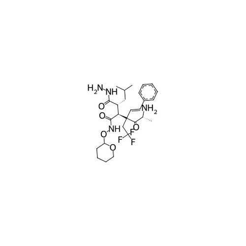 CC(C)C[C@@H](C(=O)NN)[C@H](C(=O)NOC1CCCCO1)C(/C=C/c1ccccc1)(CC(F)(F)F)C(=O)[C@@H](C)N